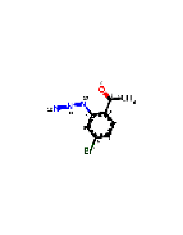 CC(=O)c1ccc(Br)cc1N=[N+]=[N-]